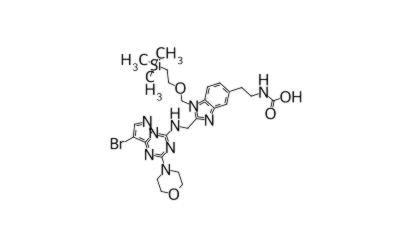 C[Si](C)(C)CCOCn1c(CNc2nc(N3CCOCC3)nc3c(Br)cnn23)nc2cc(CCNC(=O)O)ccc21